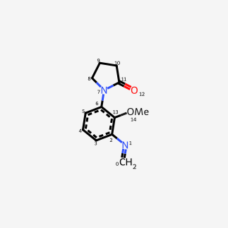 C=Nc1cccc(N2CCCC2=O)c1OC